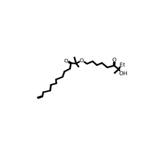 C=CCCCCCCCCC(=O)C(C)(C)OCCCCCC(=O)C(C)(O)CC